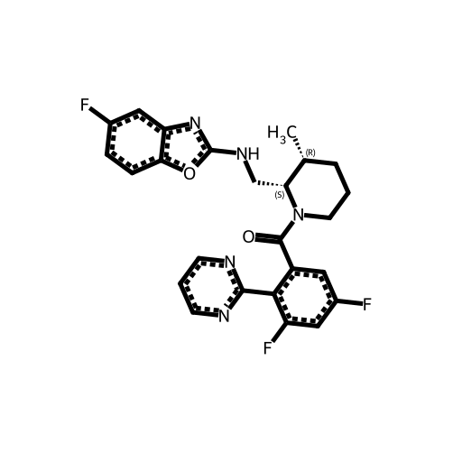 C[C@@H]1CCCN(C(=O)c2cc(F)cc(F)c2-c2ncccn2)[C@@H]1CNc1nc2cc(F)ccc2o1